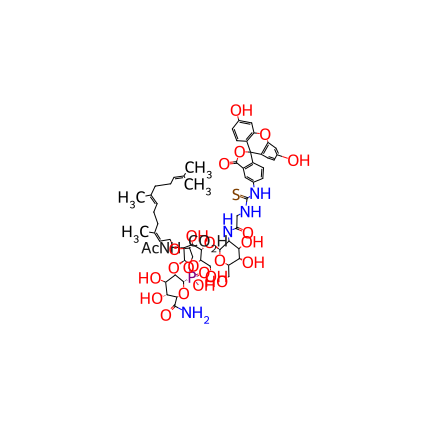 CC(=O)NC1C(O)[C@H](O[C@@H]2OC(CO)[C@H](O)C(O)C2NC(=O)CNC(=S)Nc2ccc3c(c2)C(=O)OC32c3ccc(O)cc3Oc3cc(O)ccc32)C(CO)O[C@H]1OC1C(O)[C@@H](O)C(C(N)=O)O[C@H]1P(=O)(O)OC[C@@H](OC/C=C(/C)CC/C=C(\C)CCC=C(C)C)C(=O)O